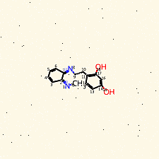 C/N=C1/C=CC=C/C1=N/CCc1ccc(O)cc1O